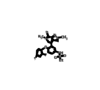 CCS(=O)(=O)Nc1ccc(Oc2ccc(F)cc2F)c(-c2cn(C)c(=O)c3nn(C)cc23)c1